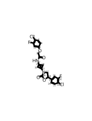 O=C(COc1ccc(Cl)c(F)c1)NC12CC(N3CC(c4ccc(Cl)c(F)c4)OC3=O)(C1)C2